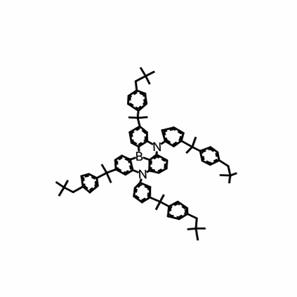 CC(C)(C)Cc1ccc(C(C)(C)c2cccc(N3c4cc(C(C)(C)c5ccc(CC(C)(C)C)cc5)ccc4B4c5ccc(C(C)(C)c6ccc(CC(C)(C)C)cc6)cc5N(c5cccc(C(C)(C)c6ccc(CC(C)(C)C)cc6)c5)c5cccc3c54)c2)cc1